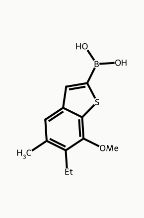 CCc1c(C)cc2cc(B(O)O)sc2c1OC